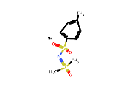 Cc1ccc(S(=O)(=O)N=S(C)(C)=O)cc1.[Na]